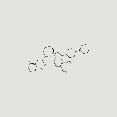 O=C(Cc1c(F)cccc1Cl)N1CCCC[C@](CCN2CCC(N3CCCCC3)CC2)(c2ccc(C(Cl)(Cl)Cl)c(C(Cl)(Cl)Cl)c2)C1